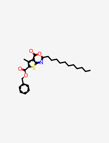 CCCCCCCCCCCc1nc2sc(C(=O)OCc3ccccc3)c(C)c2c(=O)o1